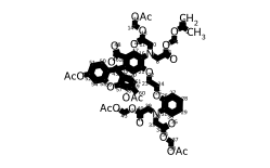 C=C(C)OCOC(=O)CN(CC(=O)OCOC(C)=O)c1cc2c(cc1OCCOc1ccccc1N(CC(=O)OCOC(C)=O)CC(=O)OCOC(C)=O)C1(OC2=O)c2ccc(OC(C)=O)cc2Oc2cc(OC(C)=O)ccc21